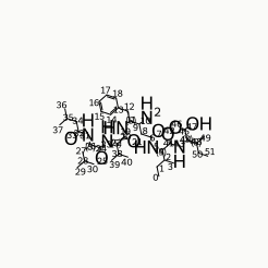 CCC(C)[C@H](NC(=O)CC(N)[C@H](Cc1ccccc1)NC(=O)[C@@H](NC(=O)[C@H](CC(C)C)NC(=O)CC(C)C)C(C)C)C(=O)N[C@H](C(=O)O)[C@@H](C)CC